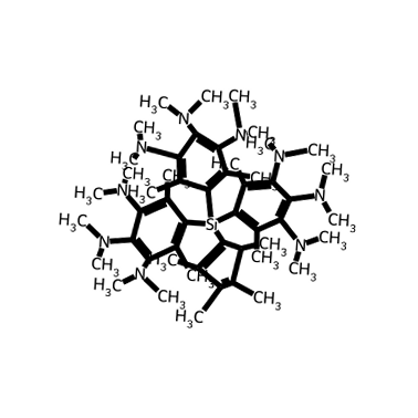 CC1=C(C)C(C)C([Si](c2c(C)c(N(C)C)c(N(C)C)c(N(C)C)c2C)(c2c(C)c(N(C)C)c(N(C)C)c(N(C)C)c2C)c2c(C)c(N(C)C)c(N(C)C)c(N(C)C)c2C)=C1C